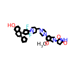 COc1cc(N2CCN(CC3CCN(c4c(F)cc([C@@H]5c6ccc(O)cc6CC[C@@H]5c5ccccc5)cc4F)CC3)CC2)cc2c1CN(C1CCC(=O)NC1=O)C2